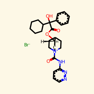 O=C(O[C@H]1C[N+]2(C(=O)Nc3cccnn3)CCC1CC2)C(O)(c1ccccc1)C1CCCCC1.[Br-]